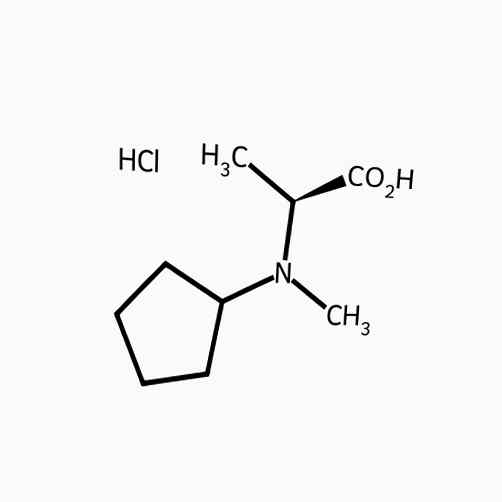 C[C@@H](C(=O)O)N(C)C1CCCC1.Cl